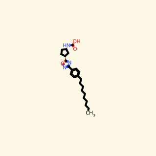 CCCCCCCCCCc1ccc(-c2noc([C@@H]3CC[C@H](NC(=O)O)C3)n2)cc1